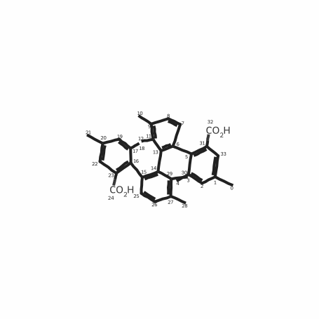 Cc1cc(C)c(-c2ccc(C)c(C)c2-c2c(-c3c(C)cc(C)cc3C(=O)O)ccc(C)c2C)c(C(=O)O)c1